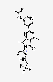 C=C/C(=C\NCC(F)(F)F)N1C(=O)c2c(C)cc(-c3cncc(OC(C)F)c3)nc2C1C